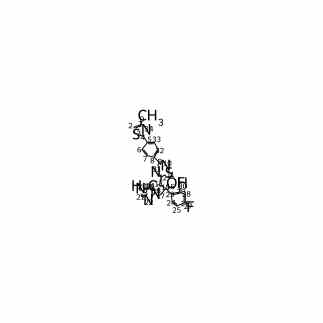 Cc1csc(-c2ccc(-c3nsc([C@H](C)[C@](O)(Cn4cncn4)c4ccc(F)cc4F)n3)cc2)n1